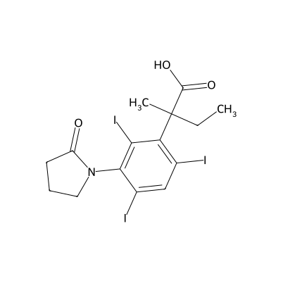 CCC(C)(C(=O)O)c1c(I)cc(I)c(N2CCCC2=O)c1I